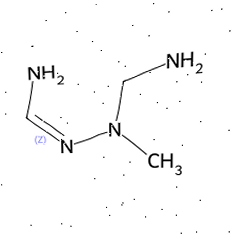 CN(CN)/N=C\N